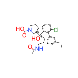 CCc1cccc(-c2c(Cl)cccc2[C@](O)(CCCNC(C)=O)[C@@H]2CCCN(C(=O)O)C2)c1